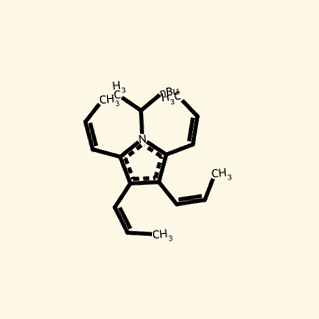 C/C=C\c1c(/C=C\C)c(/C=C\C)n(C(C)CCCC)c1/C=C\C